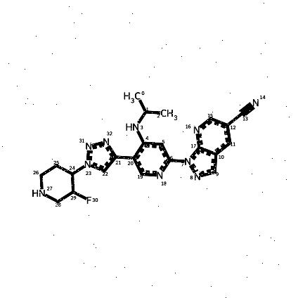 CC(C)Nc1cc(-n2ncc3cc(C#N)cnc32)ncc1-c1cn(C2CCNCC2F)nn1